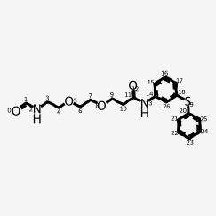 O=CNCCOCCOCCC(=O)Nc1cccc(Sc2ccccc2)c1